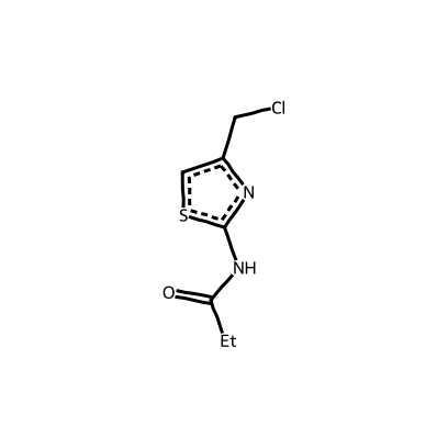 CCC(=O)Nc1nc(CCl)cs1